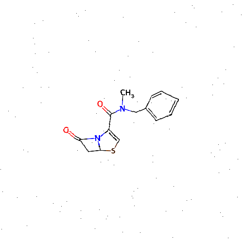 CN(Cc1ccccc1)C(=O)C1=CSC2CC(=O)N12